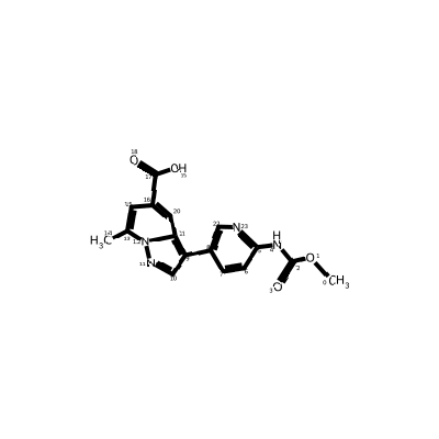 COC(=O)Nc1ccc(-c2cnn3c(C)cc(C(=O)O)cc23)cn1